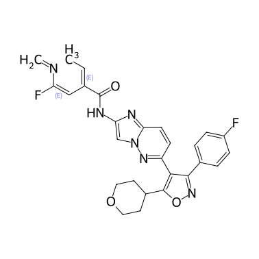 C=N/C(F)=C\C(=C/C)C(=O)Nc1cn2nc(-c3c(-c4ccc(F)cc4)noc3C3CCOCC3)ccc2n1